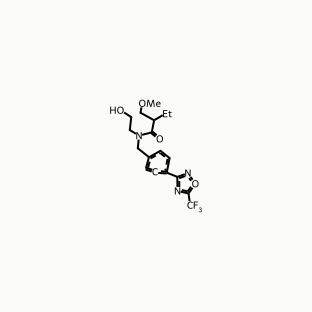 CCC(COC)C(=O)N(CCO)Cc1ccc(-c2noc(C(F)(F)F)n2)cc1